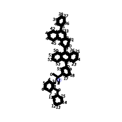 C/C(=N\c1ccccc1Cc1ccccc1)c1cccc(-c2c3ccccc3c(-c3ccc4cc(-c5ccccc5)c5ccccc5c4c3)c3ccccc23)c1